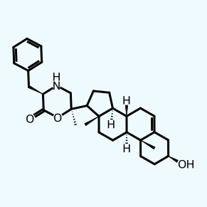 C[C@]12CC[C@H](O)CC1=CC[C@@H]1[C@@H]2CC[C@]2(C)C([C@]3(C)CN[C@H](Cc4ccccc4)C(=O)O3)CC[C@@H]12